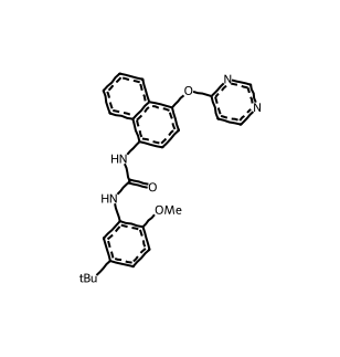 COc1ccc(C(C)(C)C)cc1NC(=O)Nc1ccc(Oc2ccncn2)c2ccccc12